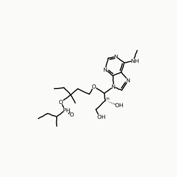 CCC(C)[PH](=O)OC(C)(CC)CCOC([C@H](O)CO)n1cnc2c(NC)ncnc21